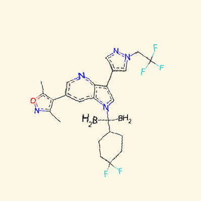 BC(B)(C1CCC(F)(F)CC1)n1cc(-c2cnn(CC(F)(F)F)c2)c2ncc(-c3c(C)noc3C)cc21